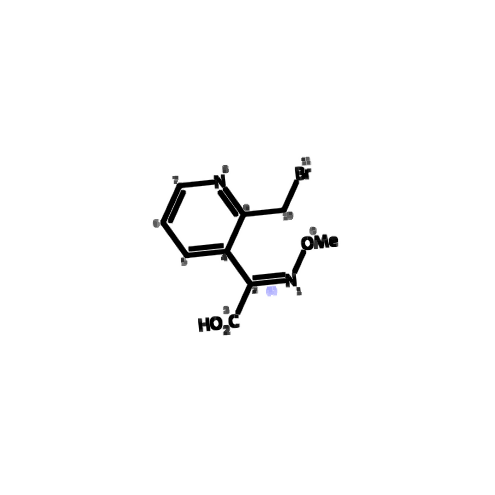 CO/N=C(/C(=O)O)c1cccnc1CBr